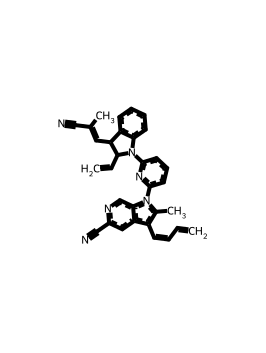 C=C/C=C\c1c(C)n(-c2cccc(N3c4ccccc4C(/C=C(\C)C#N)C3C=C)n2)c2cnc(C#N)cc12